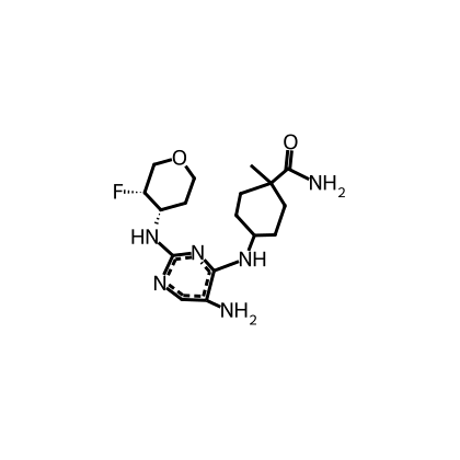 CC1(C(N)=O)CCC(Nc2nc(N[C@H]3CCOC[C@H]3F)ncc2N)CC1